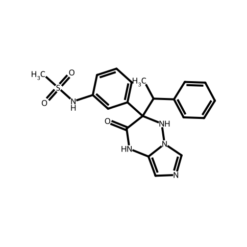 CC(c1ccccc1)C1(c2cccc(NS(C)(=O)=O)c2)Nn2cncc2NC1=O